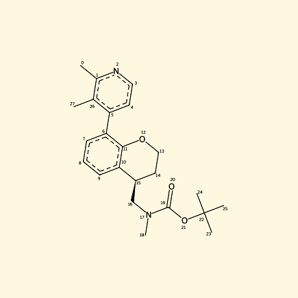 Cc1nccc(-c2cccc3c2OCC[C@H]3CN(C)C(=O)OC(C)(C)C)c1C